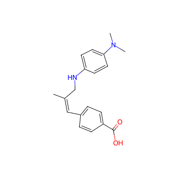 CC(=Cc1ccc(C(=O)O)cc1)CNc1ccc(N(C)C)cc1